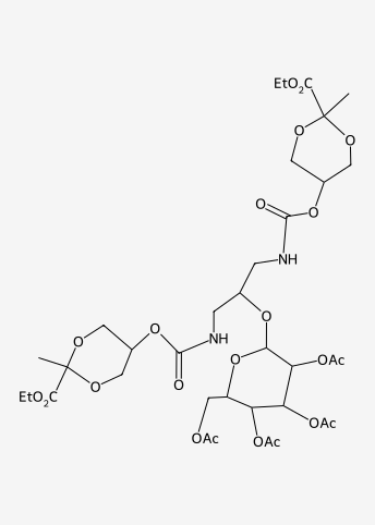 CCOC(=O)C1(C)OCC(OC(=O)NCC(CNC(=O)OC2COC(C)(C(=O)OCC)OC2)OC2OC(COC(C)=O)C(OC(C)=O)C(OC(C)=O)C2OC(C)=O)CO1